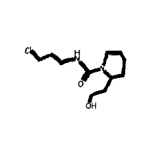 O=C(NCCCCl)N1CCCCC1CCO